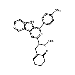 COc1ccc(-c2nc(N(CC3=CCCCC3=O)OC=O)cc3c2[nH]c2ccccc23)cc1